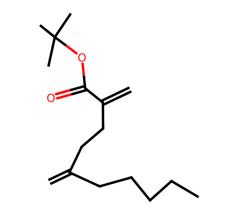 C=C(CCCCC)CCC(=C)C(=O)OC(C)(C)C